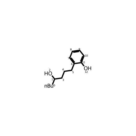 CCCCC(O)CCCc1ccccc1O